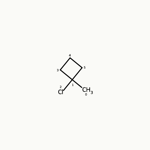 CC1(Cl)CCC1